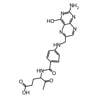 CC(=O)C(CCC(=O)O)NC(=O)c1ccc(NCc2cnc3nc(N)nc(O)c3n2)cc1